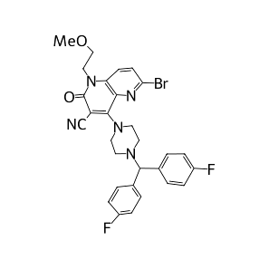 COCCn1c(=O)c(C#N)c(N2CCN(C(c3ccc(F)cc3)c3ccc(F)cc3)CC2)c2nc(Br)ccc21